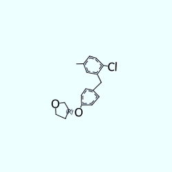 Cc1ccc(Cl)c(Cc2ccc(O[C@@H]3CCOC3)cc2)c1